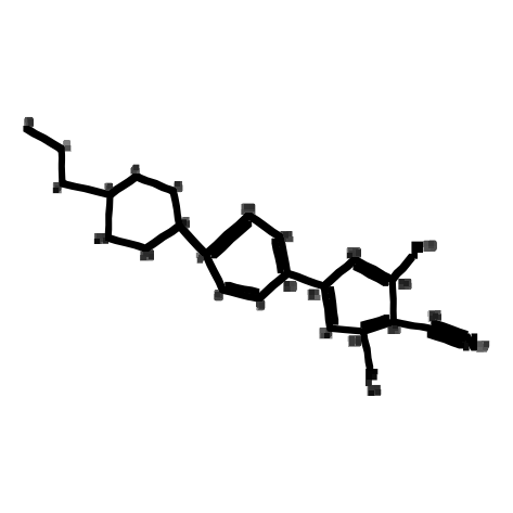 CCCC1CCC(c2ccc(-c3cc(F)c(C#N)c(F)c3)cc2)CC1